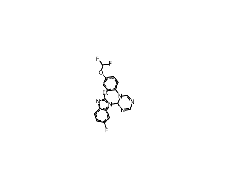 CCc1nc2ccc(F)cc2n1C1N=CN=CN1c1ccc(OC(F)F)cc1